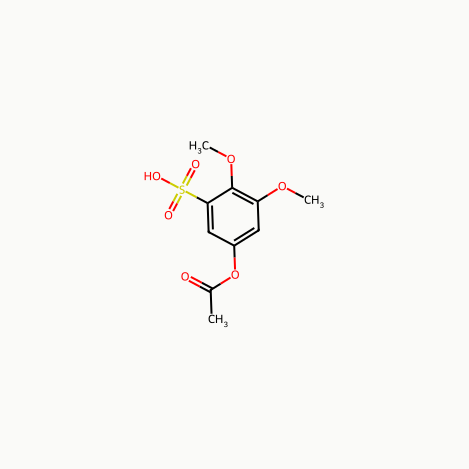 COc1cc(OC(C)=O)cc(S(=O)(=O)O)c1OC